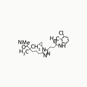 CNC(=O)C(C)(C)CCCc1nnc(CCC(=O)Nc2cccc(Cl)c2C)n1C1CC1